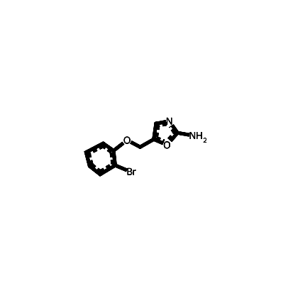 Nc1ncc(COc2ccccc2Br)o1